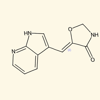 O=C1NCO/C1=C\c1c[nH]c2ncccc12